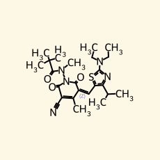 CCN(CC)c1nc(C(C)C)c(/C=C2\C(=O)N(N(C)C(=O)C(C)(C)C)C(=O)C(C#N)=C2C)s1